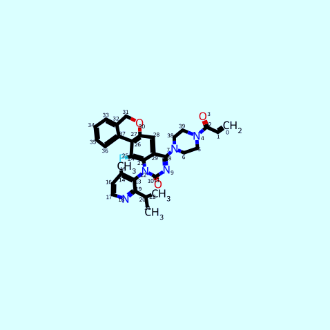 C=CC(=O)N1CCN(c2nc(=O)n(-c3c(C)ccnc3C(C)C)c3c(F)c4c(cc23)OCc2ccccc2-4)CC1